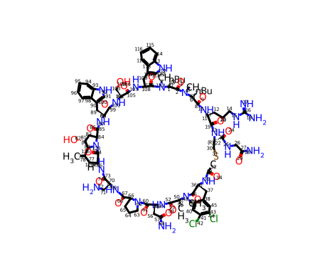 CCCC[C@H]1C(=O)N(C)[C@@H](CCCC)C(=O)N[C@@H](CCCNC(=N)N)C(=O)N[C@H](C(=O)NCC(N)=O)CSCC(=O)N[C@@H](Cc2ccc(Cl)c(Cl)c2)C(=O)N(C)[C@@H](C)C(=O)N[C@@H](CC(N)=O)C(=O)N2CCCC2C(=O)N[C@@H](CN)C(=O)N[C@H]2CC(C)C3[C@H](O)CC(C(=O)N[C@@H](Cc4c[nH]c5ccccc45)C(=O)N[C@@H](CO)C(=O)NC(Cc4c[nH]c5ccccc45)C(=O)N1C)N3C2=O